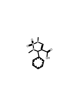 CN1C=C(C(=O)O)C(c2ccccc2)N(C)S1(=O)=O